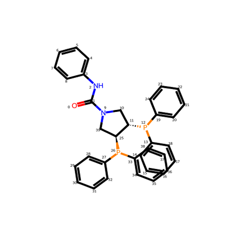 O=C(Nc1ccccc1)N1C[C@H](P(c2ccccc2)c2ccccc2)[C@@H](P(c2ccccc2)c2ccccc2)C1